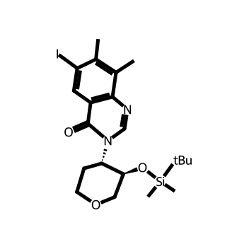 Cc1c(I)cc2c(=O)n([C@H]3CCOC[C@@H]3O[Si](C)(C)C(C)(C)C)cnc2c1C